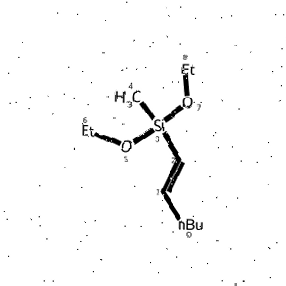 CCCCC=C[Si](C)(OCC)OCC